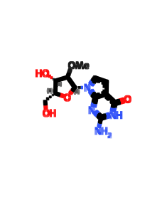 COC1[C@@H](O)[C@@H](CO)O[C@H]1n1ccc2c(=O)[nH]c(N)nc21